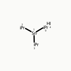 C[CH](C)[Sn]([CH](C)C)[CH](C)C.I